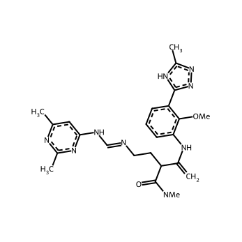 C=C(Nc1cccc(-c2nnc(C)[nH]2)c1OC)C(CC/N=C/Nc1cc(C)nc(C)n1)C(=O)NC